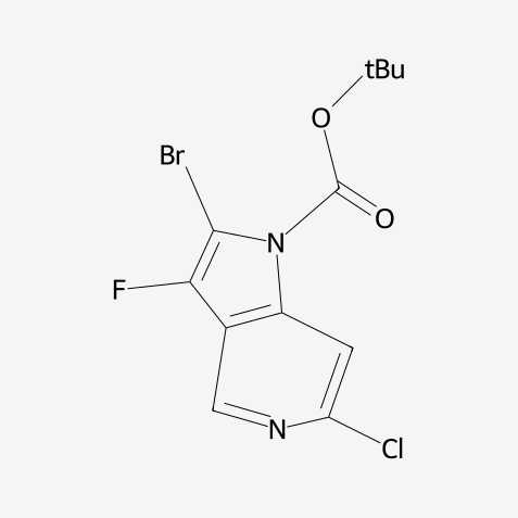 CC(C)(C)OC(=O)n1c(Br)c(F)c2cnc(Cl)cc21